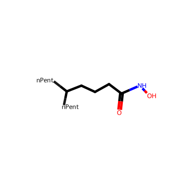 CCCCCC(CCCCC)CCCC(=O)NO